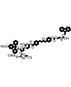 COc1ccc(C(OC[C@H]2O[C@@H](N3C=CC(NC(=O)c4ccc(CCC(=O)Cc5ccc(OC(=O)OCCN(C)[C@H](O)OCC6c7ccccc7-c7ccccc76)cc5)cc4)=N[C@H]3O)CC2OP(OCCC#N)N(C(C)C)C(C)C)(c2ccccc2)c2ccc(OC)cc2)cc1